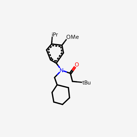 COc1cc(N(CC2CCCCC2)C(=O)CC(C)(C)C)ccc1C(C)C